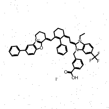 CCN1C(=CC=C2CCCC(C=C3CCC[n+]4c3oc3ccc(-c5ccccc5)cc34)=C2c2ccccc2)N(Cc2cccc(C(=O)O)c2)c2cc(C(F)(F)F)ccc21.[I-]